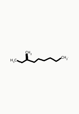 [CH2]CCCCCC(=C)CC